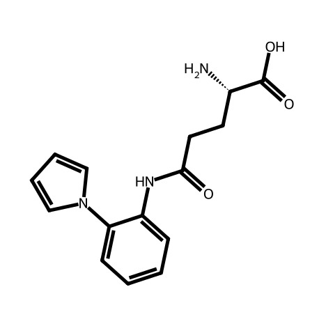 N[C@@H](CCC(=O)Nc1ccccc1-n1cccc1)C(=O)O